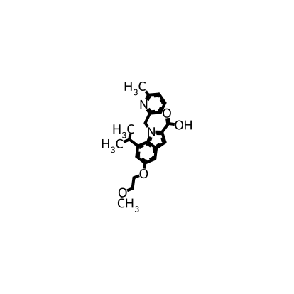 COCCOc1cc(C(C)C)c2c(c1)cc(C(=O)O)n2Cc1cccc(C)n1